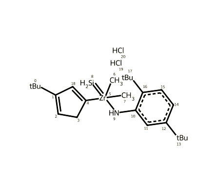 CC(C)(C)C1=CC[C]([Zr]([CH3])([CH3])(=[SiH2])[NH]c2cc(C(C)(C)C)ccc2C(C)(C)C)=C1.Cl.Cl